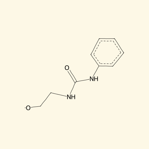 [O]CCNC(=O)Nc1ccccc1